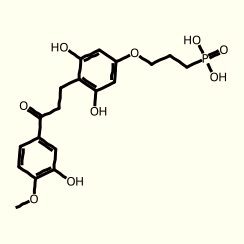 COc1ccc(C(=O)CCc2c(O)cc(OCCCP(=O)(O)O)cc2O)cc1O